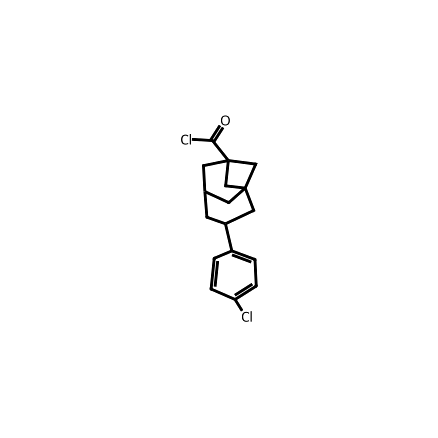 O=C(Cl)C12CC3CC(c4ccc(Cl)cc4)CC(C3)(C1)C2